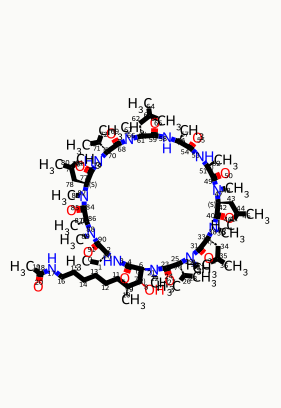 CC[C@H]1NC(=O)[C@H]([C@H](O)[C@H](C)CCCCCCNC(C)=O)N(C)C(=O)[C@@H](C(C)C)N(C)C(=O)[C@@H](CC(C)C)N(C)C(=O)[C@H](CC(C)C)N(C)C(=O)[C@H](C)NC(=O)[C@@H](C)NC(=O)[C@@H](CC(C)C)N(C)C(=O)[C@@H](C(C)C)NC(=O)[C@H](CC(C)C)N(C)C(=O)[C@@H](C)N(C)C1=O